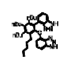 C=CCCCc1c(CCCC)c(CCCC)c(CCCC)c(-c2cccc3[nH]nnc23)c1Oc1cccc2[nH]nnc12